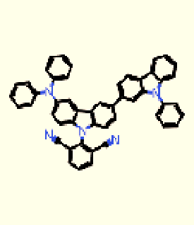 N#Cc1cccc(C#N)c1-n1c2ccc(-c3ccc4c5ccccc5n(-c5ccccc5)c4c3)cc2c2cc(N(c3ccccc3)c3ccccc3)ccc21